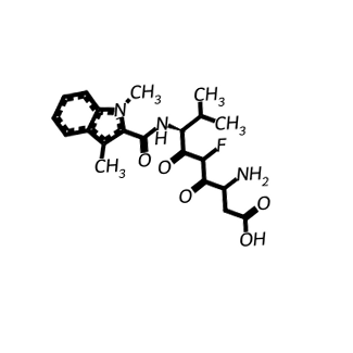 Cc1c(C(=O)N[C@H](C(=O)C(F)C(=O)C(N)CC(=O)O)C(C)C)n(C)c2ccccc12